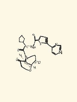 O=C(N[C@H](C(=O)N1C[C@H](Cl)[C@H]2OCC(=O)[C@H]21)C1CCCC1)c1ccc(-c2ccncn2)s1